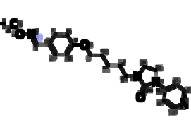 CO/N=C/c1ccc(OCCCCCN2CCN(c3ccncc3)C2=O)cc1